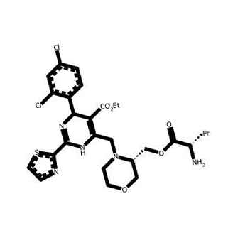 CCOC(=O)C1=C(CN2CCOC[C@H]2COC(=O)[C@@H](N)C(C)C)NC(c2nccs2)=NC1c1ccc(Cl)cc1Cl